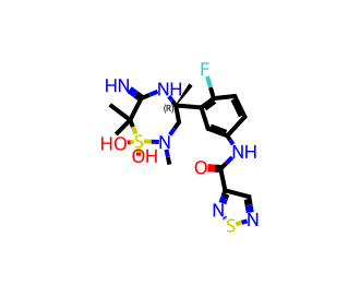 CN1C[C@@](C)(c2cc(NC(=O)c3cnsn3)ccc2F)NC(=N)C(C)(C)S1(O)O